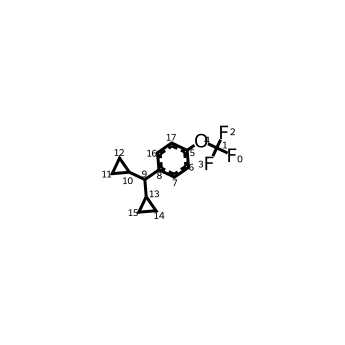 FC(F)(F)Oc1ccc(C(C2CC2)C2CC2)cc1